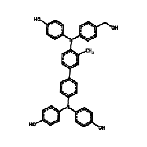 Cc1cc(-c2ccc(N(c3ccc(O)cc3)c3ccc(O)cc3)cc2)ccc1N(c1ccc(O)cc1)c1ccc(CO)cc1